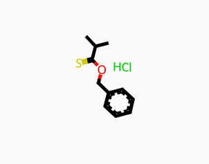 CC(C)C(=S)OCc1ccccc1.Cl